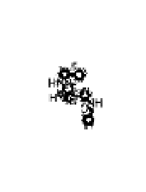 O=C(Cc1ccccc1)Nc1cncc(-c2ncc3[nH]nc(-c4nc5c(-c6ccccc6F)cccc5[nH]4)c3c2F)c1